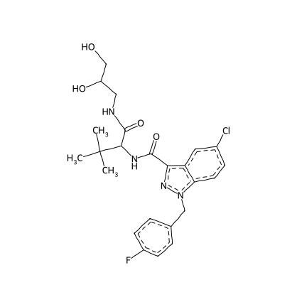 CC(C)(C)C(NC(=O)c1nn(Cc2ccc(F)cc2)c2ccc(Cl)cc12)C(=O)NCC(O)CO